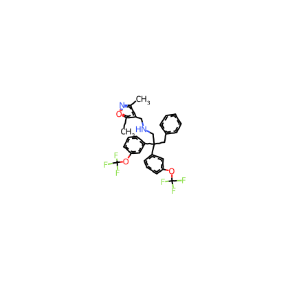 Cc1noc(C)c1CNCC(Cc1ccccc1)(c1cccc(OC(F)(F)F)c1)c1cccc(OC(F)(F)F)c1